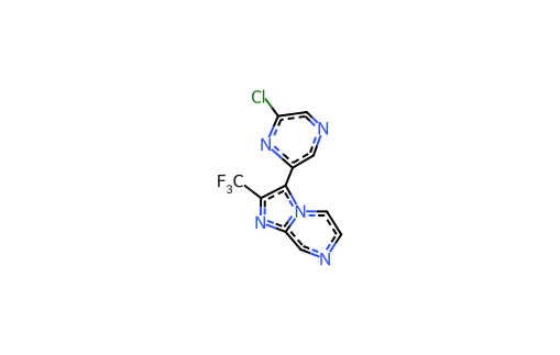 FC(F)(F)c1nc2cnccn2c1-c1cncc(Cl)n1